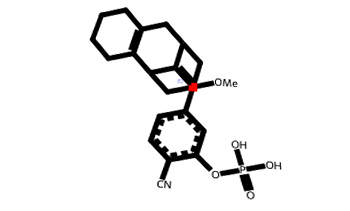 CO/C(=C1\C2CCCC1C1=C(CCCC1)C2)c1ccc(C#N)c(OP(=O)(O)O)c1